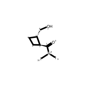 O=C([C@H]1CC[C@@H]1CO)N(I)I